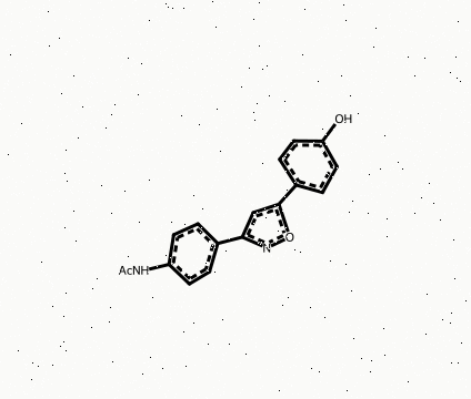 CC(=O)Nc1ccc(-c2cc(-c3ccc(O)cc3)on2)cc1